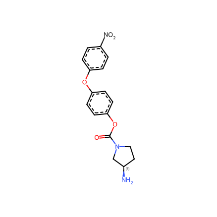 N[C@@H]1CCN(C(=O)Oc2ccc(Oc3ccc([N+](=O)[O-])cc3)cc2)C1